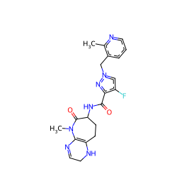 Cc1ncccc1Cn1cc(F)c(C(=O)NC2CCC3=C(N=CCN3)N(C)C2=O)n1